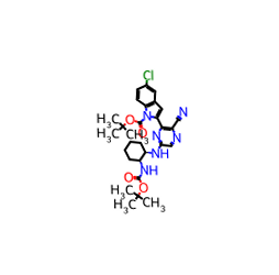 CC(C)(C)OC(=O)N[C@H]1CCCC[C@H]1Nc1cnc(C#N)c(-c2cc3cc(Cl)ccc3n2C(=O)OC(C)(C)C)n1